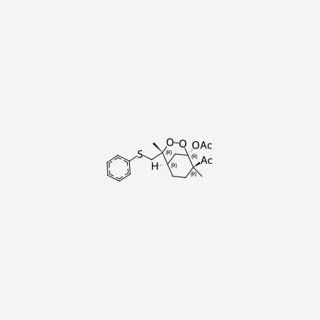 CC(=O)O[C@@]12C[C@@H](CC[C@]1(C)C(C)=O)[C@](C)(CSc1ccccc1)OO2